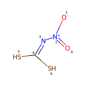 O=[N+]([O-])N=C(S)S